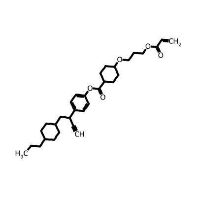 C#CC(CC1CCC(CCC)CC1)c1ccc(OC(=O)C2CCC(OCCCOC(=O)C=C)CC2)cc1